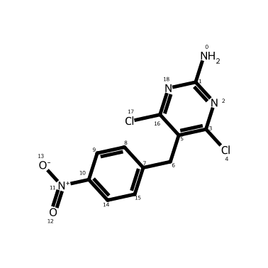 Nc1nc(Cl)c(Cc2ccc([N+](=O)[O-])cc2)c(Cl)n1